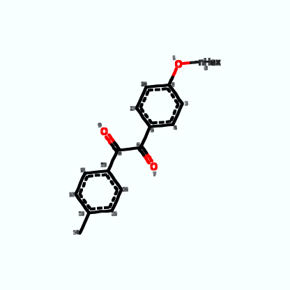 CCCCCCOc1ccc(C(=O)C(=O)c2ccc(C)cc2)cc1